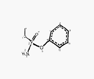 COP(N)(=O)Oc1ccccc1